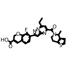 CCc1cc(C(=O)N2CCc3sccc3C2C)nc2cc(-c3ccc4c(c3F)OCC(C(=O)O)=C4)nn12